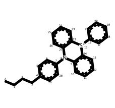 CCCCc1ccc(N2c3ccccc3[S+](c3ccccc3)c3ccccc32)cc1